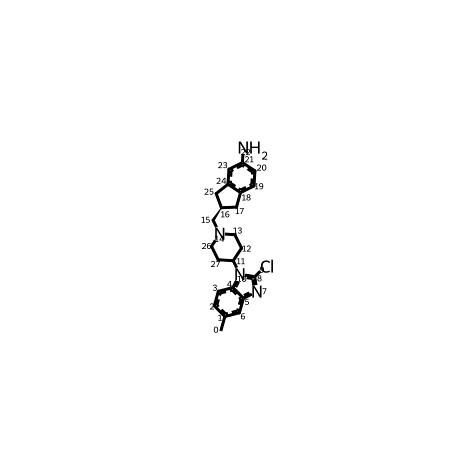 Cc1ccc2c(c1)nc(Cl)n2C1CCN(C[C@@H]2Cc3ccc(N)cc3C2)CC1